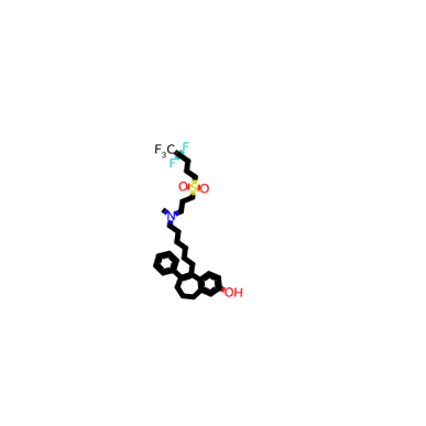 CN(CCCCCCC1=C(c2ccccc2)CCCc2cc(O)ccc21)CCCS(=O)(=O)CCCC(F)(F)C(F)(F)F